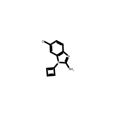 Nc1nc2ccc(Cl)cc2n1C1=CC=C1